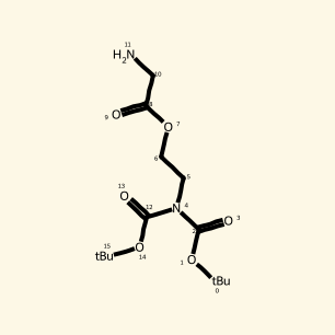 CC(C)(C)OC(=O)N(CCOC(=O)CN)C(=O)OC(C)(C)C